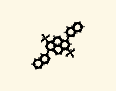 C[Si](C)(C)c1cc(-c2ccc3ccccc3c2)c2ccc3c([Si](C)(C)C)cc(-c4ccc5ccccc5c4)c4ccc1c2c43